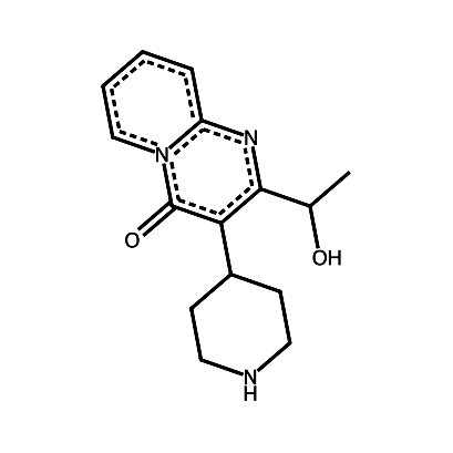 CC(O)c1nc2ccccn2c(=O)c1C1CCNCC1